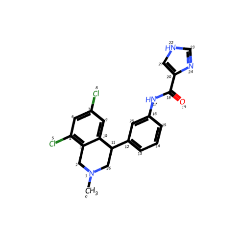 CN1Cc2c(Cl)cc(Cl)cc2C(c2cccc(NC(=O)c3c[nH]cn3)c2)C1